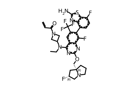 C=CC(=O)N1CC(N(CC)c2nc(OC[C@]34CCCN3C[C@H](F)C4)nc3c(F)c(-c4ccc(F)c5sc(N)nc45)c(C(F)(F)F)cc23)C1